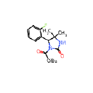 CC(C)COC(=O)N1C(=O)NC(C)(C)C1c1ccccc1F